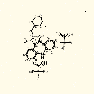 O=C(O)C(F)(F)F.O=C(O)C(F)(F)F.On1c(CC2CCOCC2)nc2c1-c1ccncc1Nc1ncccc1-2